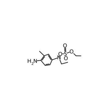 CCOS(=O)(=O)ON(CC)c1ccc(N)c(C)c1